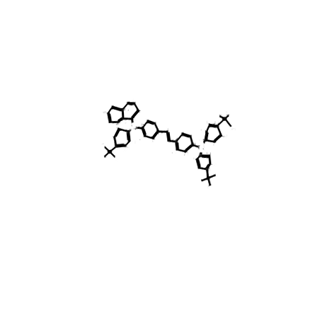 CC(C)(C)c1ccc(N(c2ccc(/C=C/c3ccc(N(c4ccc(C(C)(C)C)cc4)c4cccc5ccccc45)cc3)cc2)c2ccc(C(C)(C)C)cc2)cc1